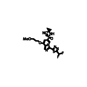 COCCCOc1cc(S(=O)(=O)NC2(C#N)CC2)cn2c(-c3nnc(C(F)F)s3)ncc12